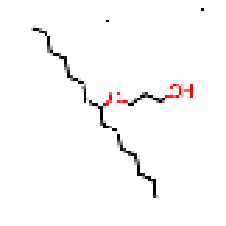 CCCCCCCC(CCCCCCC)OCCCO